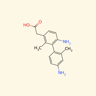 Cc1cc(N)ccc1-c1c(N)ccc(CC(=O)O)c1C